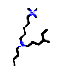 CCCCN(CCCCC[N+](C)(C)C)CCCC(C)CC